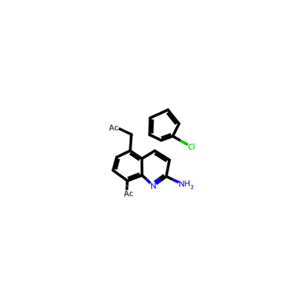 CC(=O)Cc1ccc(C(C)=O)c2nc(N)ccc12.Clc1ccccc1